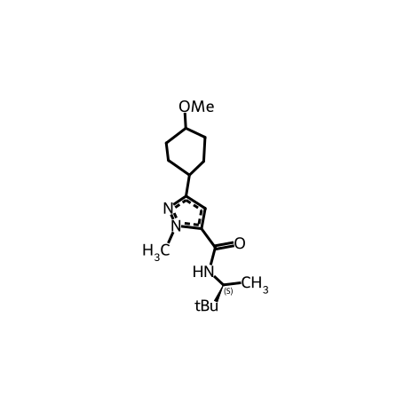 COC1CCC(c2cc(C(=O)N[C@@H](C)C(C)(C)C)n(C)n2)CC1